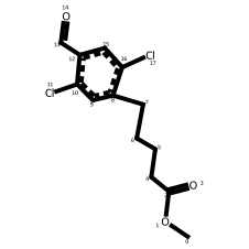 COC(=O)CCCCc1cc(Cl)c(C=O)cc1Cl